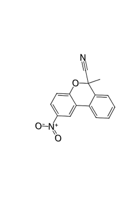 CC1(C#N)Oc2ccc([N+](=O)[O-])cc2-c2ccccc21